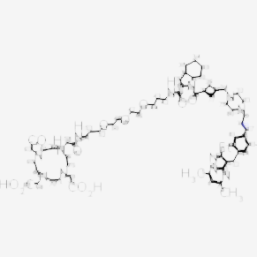 CCc1nn2c(C)cc(C)nc2c1Cc1ccc(/C=C/CN2CCN(CC34CC(C(=O)N5C6CCCCC6C[C@H]5C(=O)NCCCOCCOCCOCCCNC(=O)CN5CCN(CC(=O)O)CCN(CC(=O)O)CCN(CC(=O)O)CC5)(C3)C4)CC2)cc1